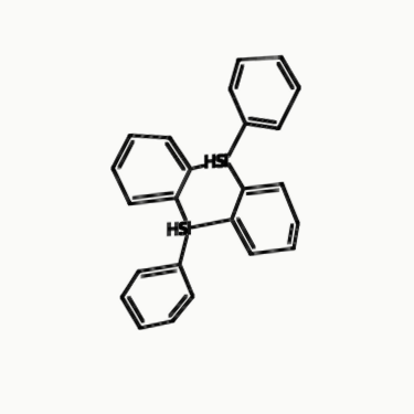 c1ccc([SiH]2c3ccccc3[SiH](c3ccccc3)c3ccccc32)cc1